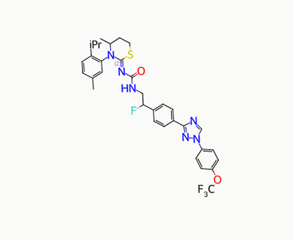 Cc1ccc(C(C)C)c(N2/C(=N/C(=O)NCC(F)c3ccc(-c4ncn(-c5ccc(OC(F)(F)F)cc5)n4)cc3)SCCC2C)c1